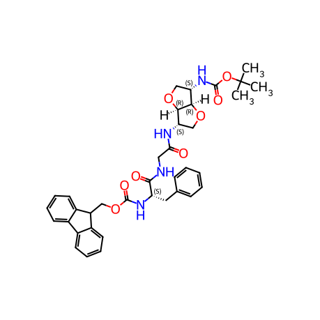 CC(C)(C)OC(=O)N[C@H]1CO[C@H]2[C@@H]1OC[C@@H]2NC(=O)CNC(=O)[C@H](Cc1ccccc1)NC(=O)OCC1c2ccccc2-c2ccccc21